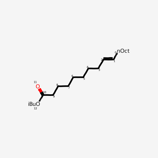 CCCCCCCCC=CCCCCCCCC(=O)OCC(C)C